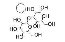 C1CCCCC1.OC[C@@H](O)[C@@H](O[C@H]1O[C@H](CO)[C@@H](O)[C@H](O)[C@H]1O)[C@H](O)[C@@H](O)CO